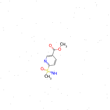 COC(=O)c1ccc(S(C)(=N)=O)nc1